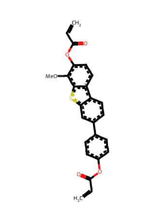 C=CC(=O)Oc1ccc(-c2ccc3c(c2)sc2c(OC)c(OC(=O)C=C)ccc23)cc1